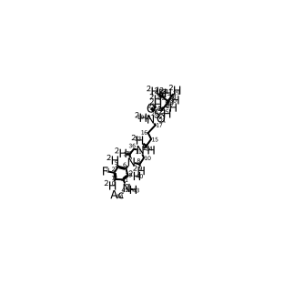 [2H]c1c(F)c([2H])c(N2C([2H])CN(C([2H])([2H])CCCN([2H])S(=O)(=O)C([2H])([2H])C([2H])(C([2H])([2H])[2H])C([2H])([2H])[2H])CC2[2H])c([2H])c1N([2H])C(C)=O